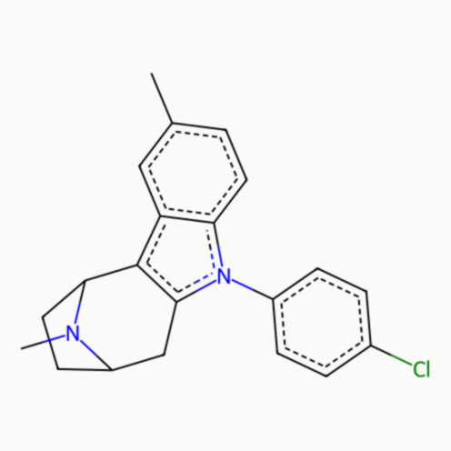 Cc1ccc2c(c1)c1c(n2-c2ccc(Cl)cc2)CC2CCC1N2C